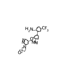 C[C@@H](NC(=O)c1cnnc(N2CCC3(COC3)C2)c1)c1ccc(-c2cc(C(F)(F)F)ccc2CN)cc1